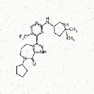 CC1(C)CCC(Nc2ncc(C(F)(F)F)c(-c3c[nH]c4c3CCCN(C3CCCC3)C4=O)n2)CN1